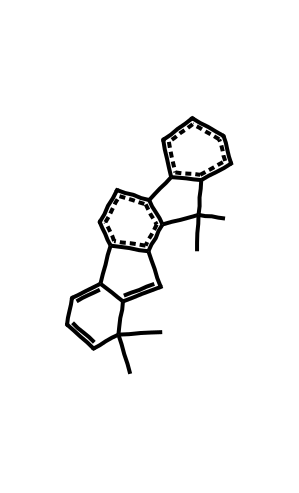 CC1(C)C=CC=C2C1=Cc1c2ccc2c1C(C)(C)c1ccccc1-2